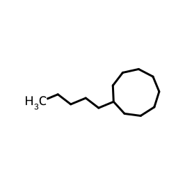 CCCCCC1CCCCCCCC1